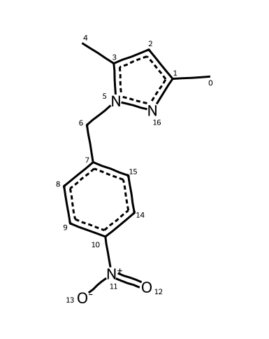 Cc1cc(C)n(Cc2ccc([N+](=O)[O-])cc2)n1